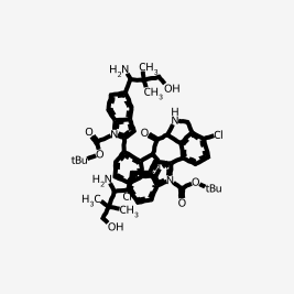 CC(C)(C)OC(=O)n1c(-c2ccc(Cl)c3c2C(C(=O)C2NCc4c(Cl)ccc(-c5cc6cc(C(N)C(C)(C)CO)ccc6n5C(=O)OC(C)(C)C)c42)NC3)cc2cc(C(N)C(C)(C)CO)ccc21